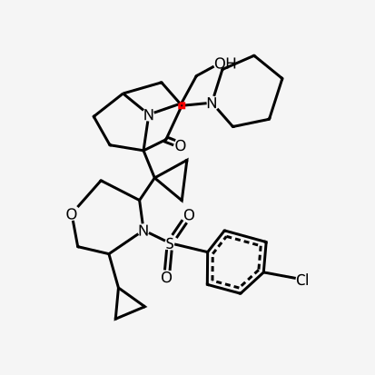 O=C1C(N2CCCCC2)CC2CCC1(C1(C3COCC(C4CC4)N3S(=O)(=O)c3ccc(Cl)cc3)CC1)N2CCO